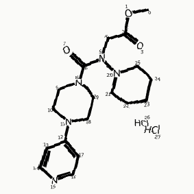 COC(=O)CN(C(=O)N1CCN(c2ccncc2)CC1)N1CCCCC1.Cl.Cl